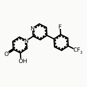 O=c1ccn(-c2cc(-c3ccc(C(F)(F)F)cc3F)ccn2)cc1O